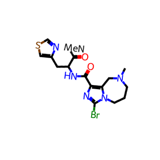 CNC(=O)C(Cc1cscn1)NC(=O)c1nc(Br)n2c1CN(C)CCC2